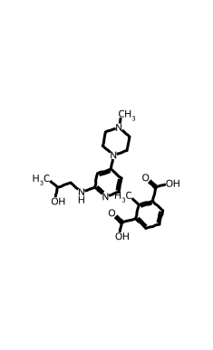 CC(O)CNc1cc(N2CCN(C)CC2)ccn1.Cc1c(C(=O)O)cccc1C(=O)O